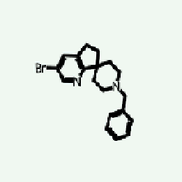 Brc1cnc2c(c1)CCC21CCN(Cc2ccccc2)CC1